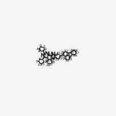 c1ccc(-c2nc(-c3ccccc3)c3c4ccccc4n4c5ccc(-c6ccc7c8c(cccc68)-c6ccccc6-7)cc5nc4c3n2)cc1